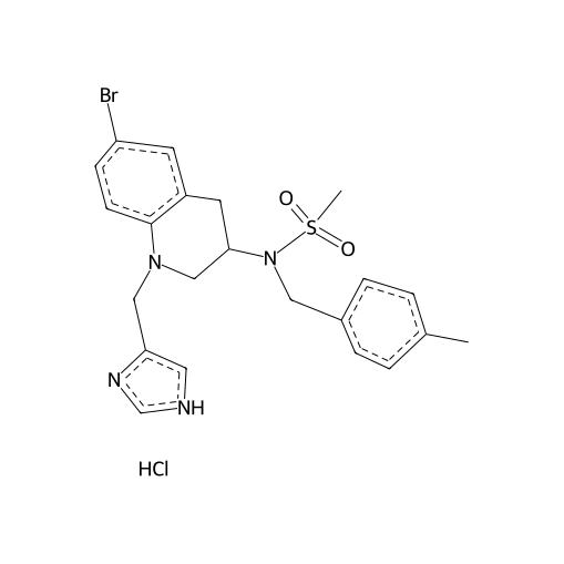 Cc1ccc(CN(C2Cc3cc(Br)ccc3N(Cc3c[nH]cn3)C2)S(C)(=O)=O)cc1.Cl